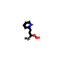 CC(CCc1ccccn1)OO